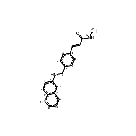 O=C(/C=C/c1ccc(CNc2ccc3ncccc3c2)cc1)NO